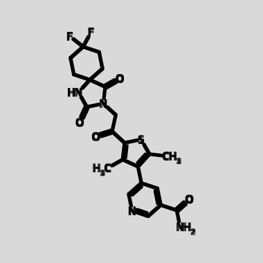 Cc1sc(C(=O)CN2C(=O)NC3(CCC(F)(F)CC3)C2=O)c(C)c1-c1cncc(C(N)=O)c1